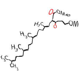 COCCC(=O)C(C/C=C(\C)CC/C=C(\C)CC/C=C(\C)CCC=C(C)C)C(=O)OC